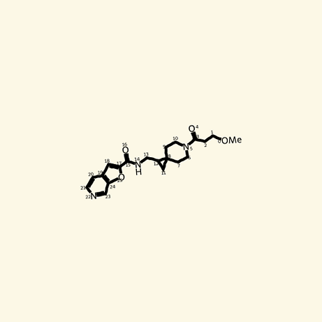 COCCC(=O)N1CCC2(CC1)CC2CNC(=O)c1cc2ccncc2o1